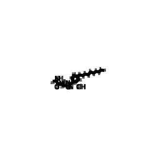 CCCCCCCCCCc1ccc(-c2noc(CNC(=O)C(C)N)n2)cc1.Cl